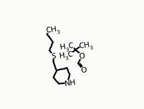 CC(C)(C)OC=O.CCCCSCC1CCNCC1